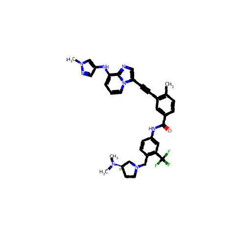 Cc1ccc(C(=O)Nc2ccc(CN3CC[C@@H](N(C)C)C3)c(C(F)(F)F)c2)cc1C#Cc1cnc2c(Nc3cnn(C)c3)cccn12